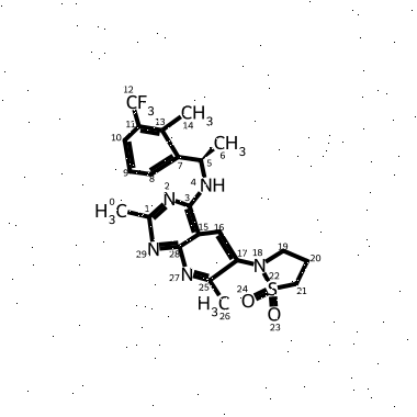 Cc1nc(N[C@H](C)c2cccc(C(F)(F)F)c2C)c2cc(N3CCCS3(=O)=O)c(C)nc2n1